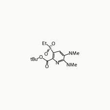 CCS(=O)(=O)c1cc(NC)c(NC)nc1C(=O)OC(C)(C)C